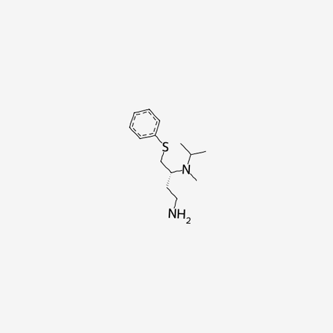 CC(C)N(C)[C@H](CCN)CSc1ccccc1